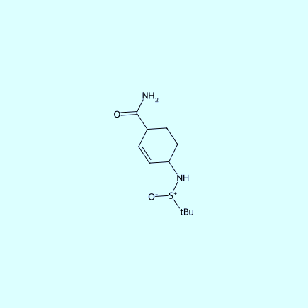 CC(C)(C)[S+]([O-])NC1C=CC(C(N)=O)CC1